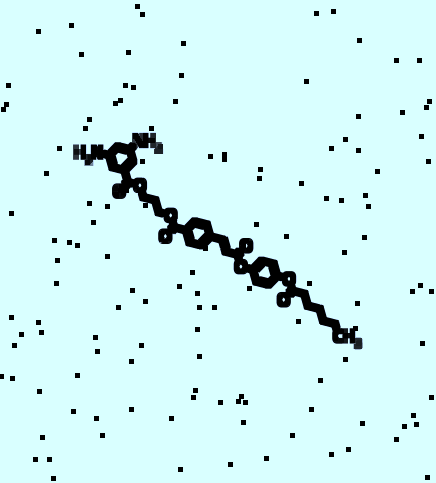 CCCCCCC(=O)Oc1ccc(OC(=O)C=Cc2ccc(C(=O)OCCCOC(=O)c3cc(N)cc(N)c3)cc2)cc1